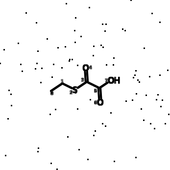 CCSC(=O)C(=O)O